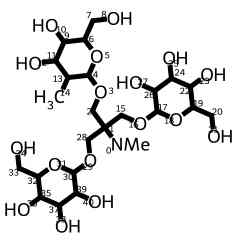 CNC(COC1OC(CO)C(O)C(O)C1C)(COC1OC(CO)C(O)C(O)C1O)COC1OC(CO)C(O)C(O)C1O